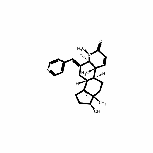 CN1C(=O)C=C[C@]2(C)[C@H]3CC[C@]4(C)[C@@H](O)CC[C@H]4[C@@H]3CC(=Cc3ccncc3)[C@@H]12